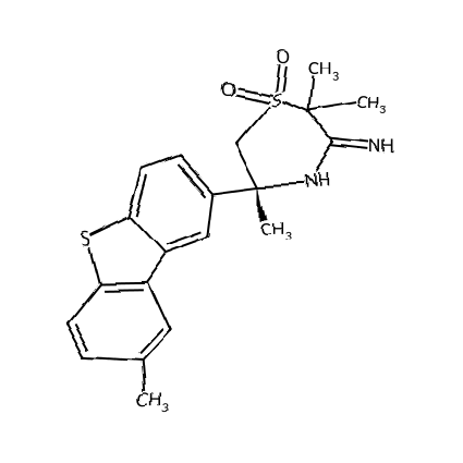 Cc1ccc2sc3ccc([C@]4(C)CS(=O)(=O)C(C)(C)C(=N)N4)cc3c2c1